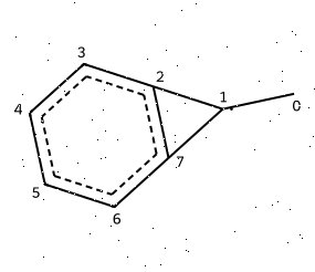 C[C]1c2ccccc21